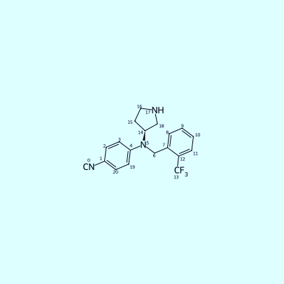 [C-]#[N+]c1ccc(N(Cc2ccccc2C(F)(F)F)[C@H]2CCNC2)cc1